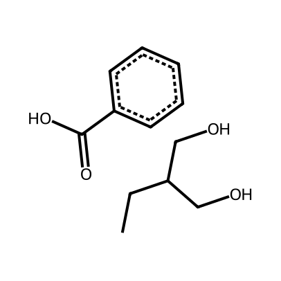 CCC(CO)CO.O=C(O)c1ccccc1